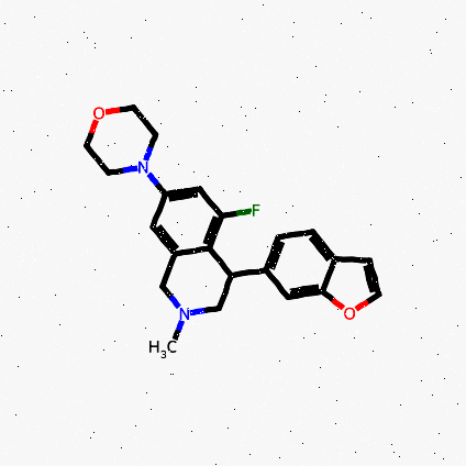 CN1Cc2cc(N3CCOCC3)cc(F)c2C(c2ccc3ccoc3c2)C1